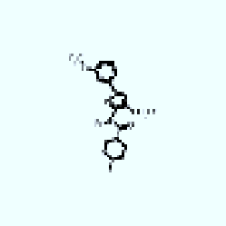 CCOC(=O)c1cn(-c2cccc(OC(F)(F)F)c2)nc1N(C(=O)[C@H]1CC[C@H](C)CC1)C(C)C